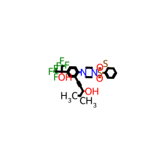 CC(C)[C@H](O)C#Cc1cc(C(O)(C(F)(F)F)C(F)(F)F)ccc1N1CCN(S(=O)(=O)C2=CC=CCC2=S)CC1